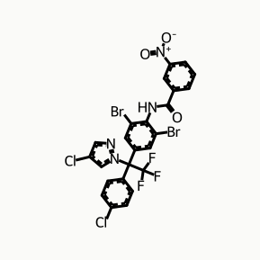 O=C(Nc1c(Br)cc(C(c2ccc(Cl)cc2)(n2cc(Cl)cn2)C(F)(F)F)cc1Br)c1cccc([N+](=O)[O-])c1